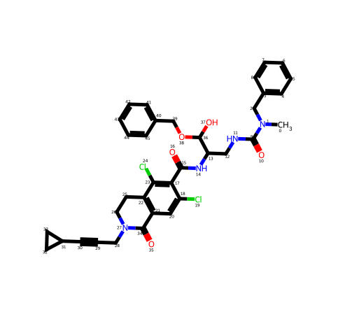 CN(Cc1ccccc1)C(=O)NCC(NC(=O)c1c(Cl)cc2c(c1Cl)CCN(CC#CC1CC1)C2=O)C(O)OCc1ccccc1